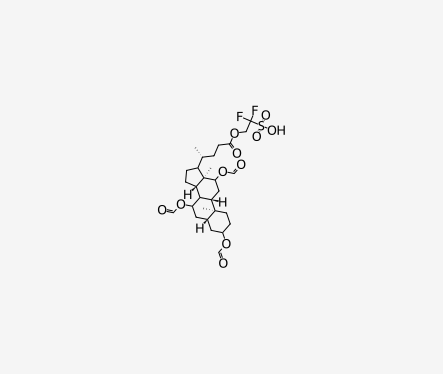 C[C@H](CCC(=O)OCC(F)(F)S(=O)(=O)O)C1CC[C@H]2C3C(OC=O)C[C@H]4CC(OC=O)CC[C@]4(C)[C@H]3CC(OC=O)[C@]12C